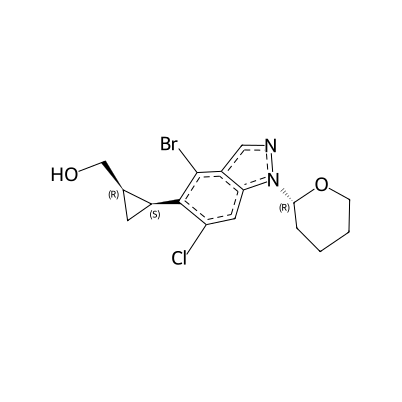 OC[C@@H]1C[C@@H]1c1c(Cl)cc2c(cnn2[C@H]2CCCCO2)c1Br